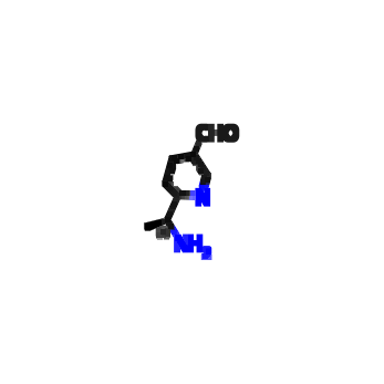 C[C@H](N)c1ccc(C=O)cn1